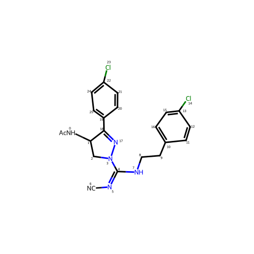 CC(=O)NC1CN(/C(=N\C#N)NCCc2ccc(Cl)cc2)N=C1c1ccc(Cl)cc1